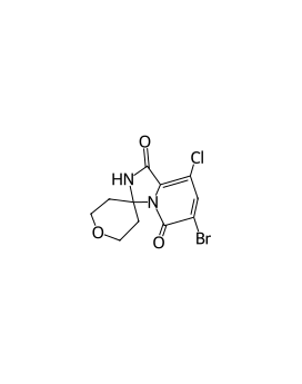 O=C1NC2(CCOCC2)n2c1c(Cl)cc(Br)c2=O